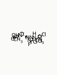 CC(Nc1nc(N2CC([C@H]3CCCN(C4CC(C)(C(=O)O)C4)C3)C2)nc(CF)c1Cl)c1ccc(Cl)cc1Cl